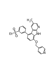 CCS(=O)(=O)c1cccc(-c2ccc(OCc3ccncc3)c3[nH]c4ncc(C)cc4c23)c1